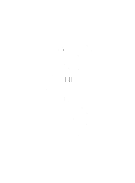 O=C1C=C(Nc2ccccc2C#Cc2ccc3ccccc3c2)C(=O)c2ccccc21